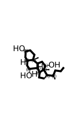 CCC[C@@H](C)[C@H]1CC[C@H]2[C@H]3C(C[C@H](O)[C@]12C)[C@@]1(C)CC[C@@H](O)C[C@H]1C[C@H]3O